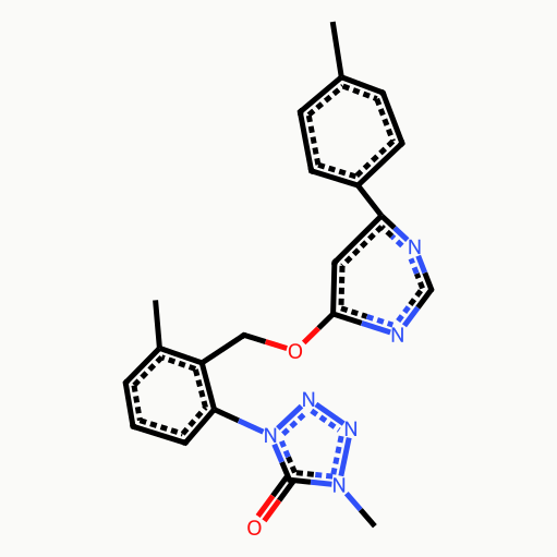 Cc1ccc(-c2cc(OCc3c(C)cccc3-n3nnn(C)c3=O)ncn2)cc1